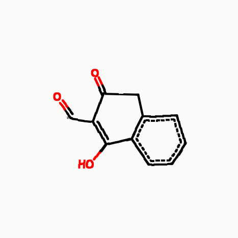 O=[C]C1=C(O)c2ccccc2CC1=O